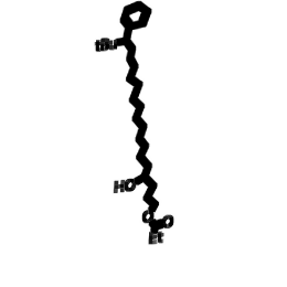 CCC(=O)OCCCC(O)CCCCCCCCCCCCCC(c1ccccc1)C(C)(C)C